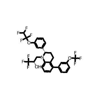 O[C@@H](CN1c2cccc(-c3cccc(OC(F)(F)F)c3)c2CC[C@H]1c1cccc(OC(F)(F)C(F)F)c1)C(F)(F)F